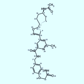 CC(=O)N[C@H]1CC[C@H]([C@@H]2CC(c3cc(C(=O)NCc4ccc5c(c4)NC(=O)CO5)nc(C)n3)=NO2)CC1